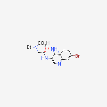 CCN(CC(=O)Nc1cnc2cc(Br)ccc2c1N)C(=O)O